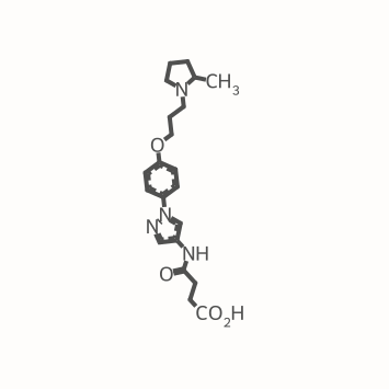 CC1CCCN1CCCOc1ccc(-n2cc(NC(=O)CCC(=O)O)cn2)cc1